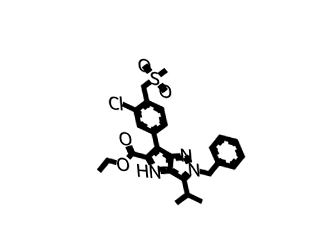 CCOC(=O)c1[nH]c2c(C(C)C)n(Cc3ccccc3)nc2c1-c1ccc(CS(C)(=O)=O)c(Cl)c1